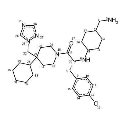 NCC1CCC(N[C@H](Cc2ccc(Cl)cc2)C(=O)N2CCC(Cn3cncn3)(C3CCCCC3)CC2)CC1